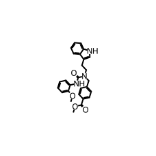 COC(=O)c1ccc(CN(CCc2c[nH]c3ccccc23)C(=O)Nc2ccccc2OC)cc1